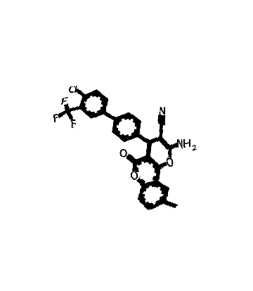 Cc1ccc2oc(=O)c3c(c2c1)OC(N)=C(C#N)C3c1ccc(-c2ccc(Cl)c(C(F)(F)F)c2)cc1